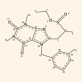 CCOC(=O)C(C)Cc1nc2c(c(=O)n(C)c(=O)n2C)n1Cc1cccc(C)c1